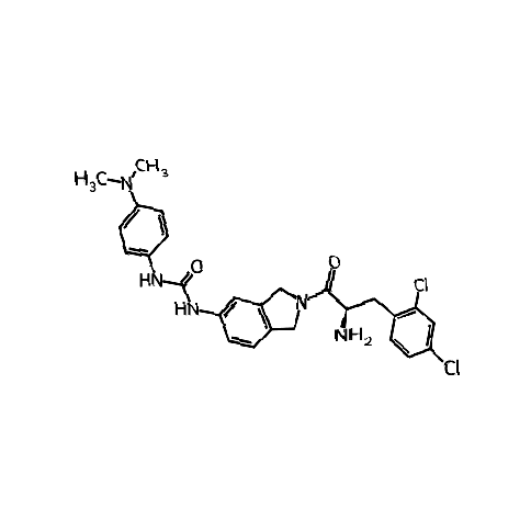 CN(C)c1ccc(NC(=O)Nc2ccc3c(c2)CN(C(=O)[C@H](N)Cc2ccc(Cl)cc2Cl)C3)cc1